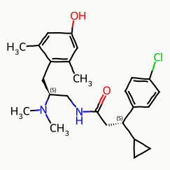 Cc1cc(O)cc(C)c1C[C@@H](CNC(=O)C[C@H](c1ccc(Cl)cc1)C1CC1)N(C)C